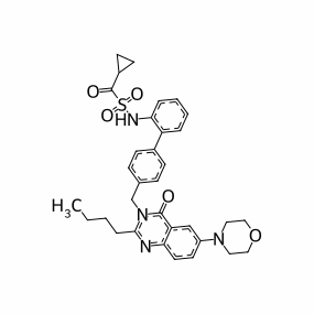 CCCCc1nc2ccc(N3CCOCC3)cc2c(=O)n1Cc1ccc(-c2ccccc2NS(=O)(=O)C(=O)C2CC2)cc1